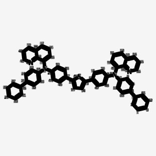 c1ccc(-c2ccc(N(c3ccc(-c4ccc(-c5ccc(N(c6ccc(-c7ccccc7)cc6)c6cccc7cccnc67)cc5)s4)cc3)c3cccc4cccnc34)cc2)cc1